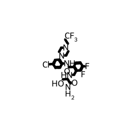 NC(=O)C(CO)NCc1c(C(=O)Nc2ccc(Cl)cc2N2CCN(CCC(F)(F)F)CC2)ccc(F)c1F